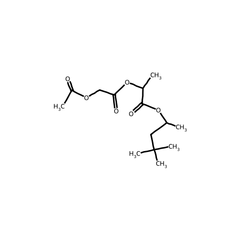 CC(=O)OCC(=O)OC(C)C(=O)OC(C)CC(C)(C)C